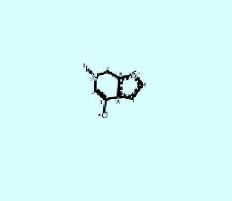 ClC1=CN(I)Cc2sccc21